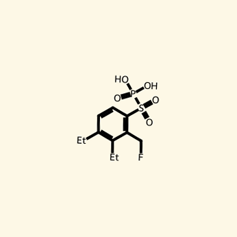 CCc1ccc(S(=O)(=O)P(=O)(O)O)c(CF)c1CC